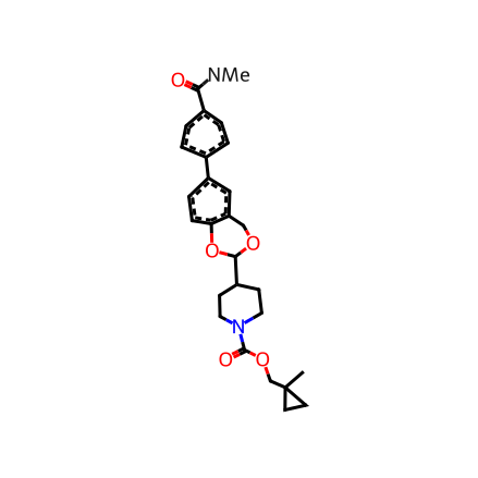 CNC(=O)c1ccc(-c2ccc3c(c2)COC(C2CCN(C(=O)OCC4(C)CC4)CC2)O3)cc1